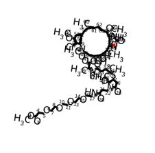 COC(=O)CCOCCOCCOCCOCCNC(=O)CCN1C(=O)CC(SC(C)(C)CCC(=O)N(C)[C@@H](C)C(=O)O[C@H]2CC(=O)N(C)c3cc(cc(OC)c3Cl)C/C(C)=C/C=C/[C@@H](OC)[C@@]3(O)C[C@H](OC(=O)N3)[C@@H](C)[C@@H]3O[C@@]23C)C1=O